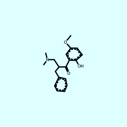 COc1ccc(O)c(C(=O)C(Cc2ccccc2)CN(C)C)c1